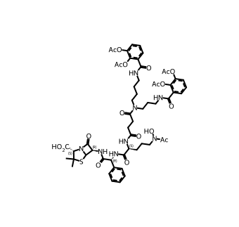 CC(=O)Oc1cccc(C(=O)NCCCCN(CCCNC(=O)c2cccc(OC(C)=O)c2OC(C)=O)C(=O)CCC(=O)N[C@@H](CCCN(O)C(C)=O)C(=O)N[C@@H](C(=O)N[C@@H]2C(=O)N3C2SC(C)(C)[C@@H]3C(=O)O)c2ccccc2)c1OC(C)=O